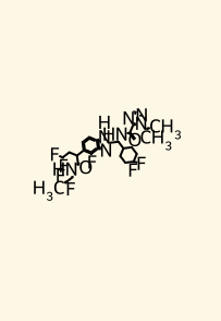 CC(C)n1ncnc1C(=O)NC(c1nc2c(F)c(C(CC(F)F)C(=O)NCC(C)(F)F)ccc2[nH]1)C1CCC(F)(F)CC1